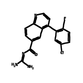 NC(N)=NC(=O)c1ccc2nccc(-c3cc(Cl)ccc3F)c2c1